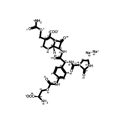 NC(=O)OCC1=C(C(=O)[O-])N2C(=O)[C@@H](NC(=O)[C@H](NC(=O)N3CCNC3=O)c3ccc(NC(=O)OC[C@@H](N)C(=O)[O-])cc3)[C@@H]2SC1.[Na+].[Na+]